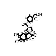 O=C([C@@H]1CC[C@@](O)(CO)C1)N1CC[C@]2(C1)C(=O)Nc1cc(Cl)c(Cl)cc12